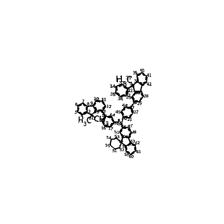 CC1(C)c2ccccc2-c2cccc(-c3cccc(N(c4ccc(-c5ccc6c(c5)C(C)(c5ccccc5)c5ccccc5-6)cc4)c4ccc5c(c4)C4(CCCCC4)c4ccccc4-5)c3)c21